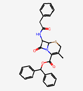 CC1=C(C(=O)OC(c2ccccc2)c2ccccc2)N2C(=O)C(NC(=O)Cc3ccccc3)C2SC1